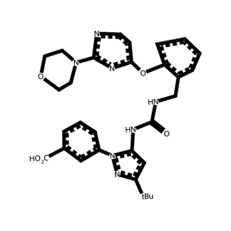 CC(C)(C)c1cc(NC(=O)NCc2ccccc2Oc2ccnc(N3CCOCC3)n2)n(-c2cccc(C(=O)O)c2)n1